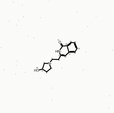 O=c1[nH]c(CCN2CCC(O)C2)cc2ccccc12